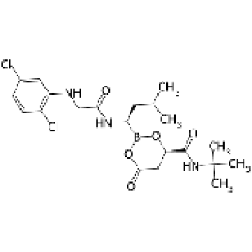 CC(C)C[C@H](NC(=O)CNc1cc(Cl)ccc1Cl)B1OC(=O)C[C@H](C(=O)NC(C)(C)C)O1